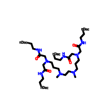 CCCCCCCCCCCCNC(=O)CN(CCCN(C)CCN(C)CCCN(CC(=O)NCCCCCCCCCCCC)CC(=O)NCCCCCCCCCCCC)CC(=O)NCCCCCCCCCCCC